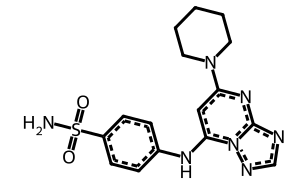 NS(=O)(=O)c1ccc(Nc2cc(N3CCCCC3)nc3ncnn23)cc1